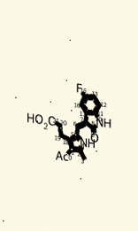 CC(=O)c1c(C)[nH]c(C=C2C(=O)Nc3ccc(F)cc32)c1CCC(=O)O